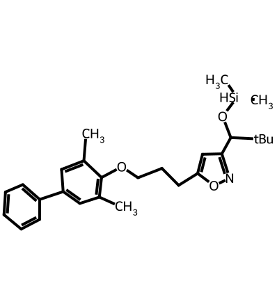 Cc1cc(-c2ccccc2)cc(C)c1OCCCc1cc(C(O[SiH](C)C)C(C)(C)C)no1